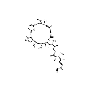 CO[C@H]([C@H](C)/C=C/N(C)C=O)[C@@H](C)C(=O)CC[C@H](C)[C@H](O)[C@H](C)[C@H]1OC(=O)/C=C\C(C)=C/[C@H](O)[C@H](OC)C[C@@H]2C=CC[C@@H](C[C@H](OC)[C@H](CO)[C@@H](OC)C[C@@H](OC)[C@@H]1C)O2